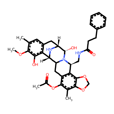 COc1c(C)cc2c(c1O)[C@@H]1N[C@H](C2)[C@H](O)N2C1Cc1c(OC(C)=O)c(C)c3c(c1[C@@H]2CNC(=O)CCc1ccccc1)OCO3